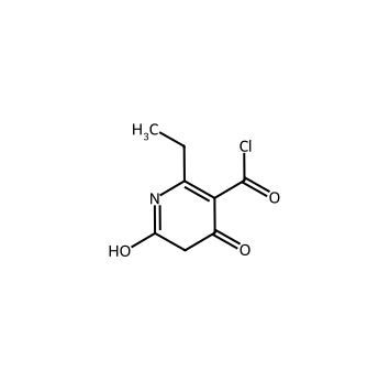 CCC1=C(C(=O)Cl)C(=O)CC(O)=N1